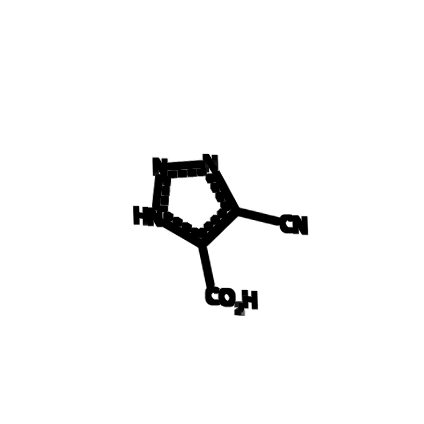 N#Cc1nn[nH]c1C(=O)O